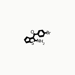 NC1SC2=CC=CC2=C1C(=O)c1ccc(Br)cc1